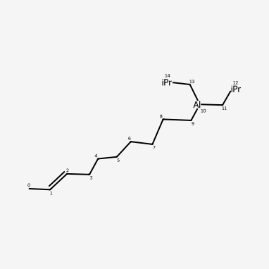 CC=CCCCCCC[CH2][Al]([CH2]C(C)C)[CH2]C(C)C